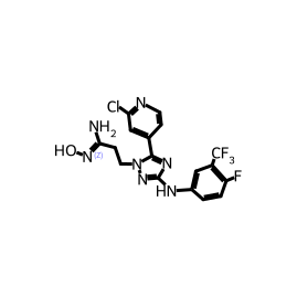 N/C(CCn1nc(Nc2ccc(F)c(C(F)(F)F)c2)nc1-c1ccnc(Cl)c1)=N\O